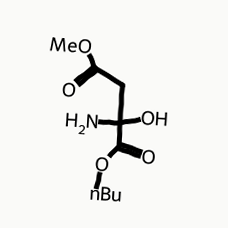 CCCCOC(=O)C(N)(O)CC(=O)OC